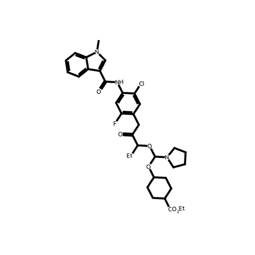 CCOC(=O)C1CCC(OC(OC(CC)C(=O)Cc2cc(Cl)c(NC(=O)c3cn(C)c4ccccc34)cc2F)N2CCCC2)CC1